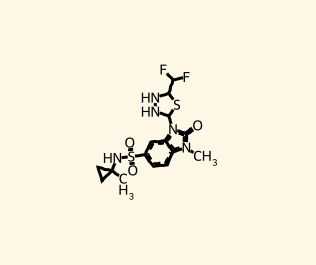 Cn1c(=O)n(C2NNC(C(F)F)S2)c2cc(S(=O)(=O)NC3(C)CC3)ccc21